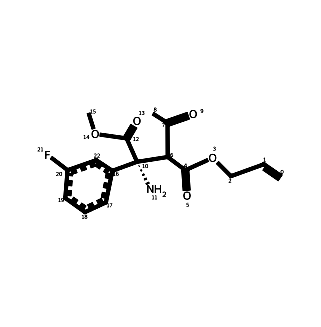 C=CCOC(=O)C(C(C)=O)[C@](N)(C(=O)OC)c1cccc(F)c1